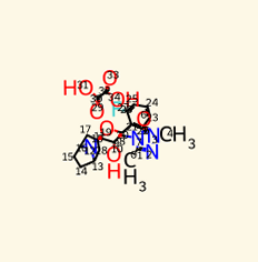 Cc1nn(C)c(=O)n1CC(O)CN1C2CCC1CC(OCc1ccccc1F)C2.O=C(O)C(=O)O